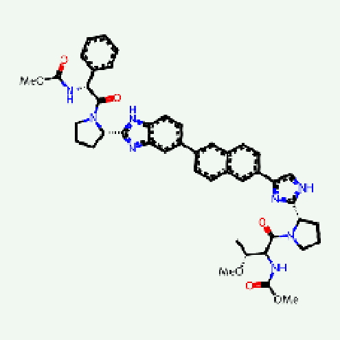 COC(=O)N[C@H](C(=O)N1CCC[C@H]1c1nc(-c2ccc3cc(-c4ccc5[nH]c([C@@H]6CCCN6C(=O)[C@H](NC(=O)OC)c6ccccc6)nc5c4)ccc3c2)c[nH]1)[C@@H](C)OC